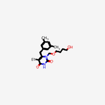 CCc1c(Cc2cc(C)cc(C)c2)n(COCCCCO)c(=O)[nH]c1=O